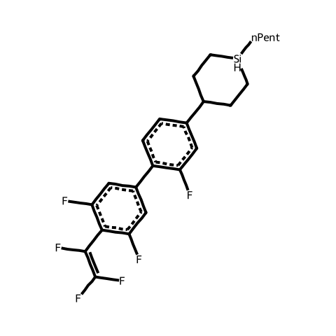 CCCCC[SiH]1CCC(c2ccc(-c3cc(F)c(C(F)=C(F)F)c(F)c3)c(F)c2)CC1